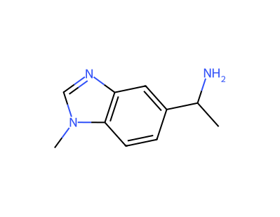 CC(N)c1ccc2c(c1)ncn2C